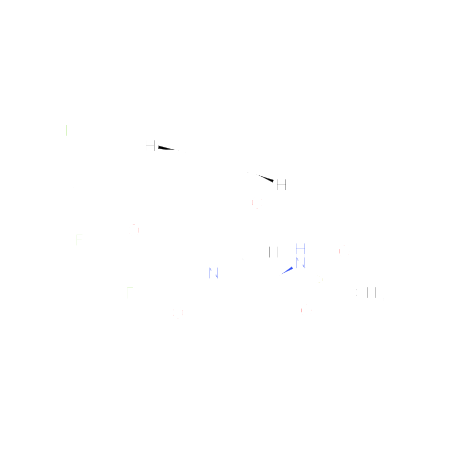 CS(=O)(=O)N[C@H]1CCCN2C(=O)C(F)Oc3c(F)cc(F)cc3[C@H]3CC[C@H](CC3)OC[C@@H]12